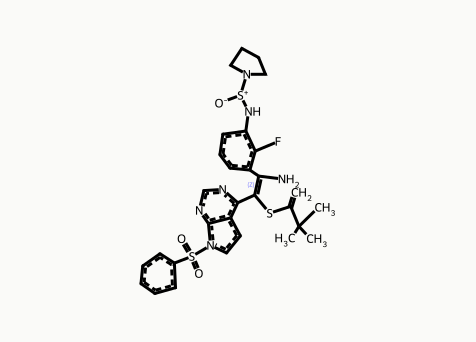 C=C(S/C(=C(\N)c1cccc(N[S+]([O-])N2CCCC2)c1F)c1ncnc2c1ccn2S(=O)(=O)c1ccccc1)C(C)(C)C